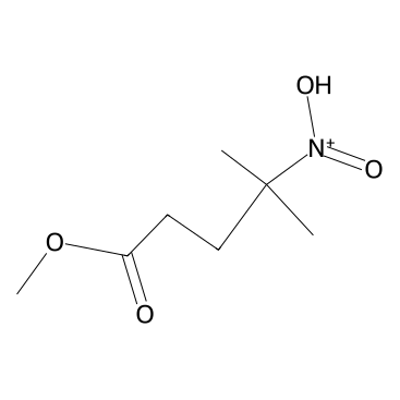 COC(=O)CCC(C)(C)[N+](=O)O